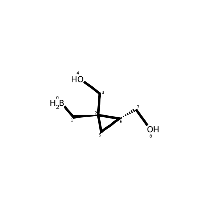 BC[C@]1(CO)C[C@H]1CO